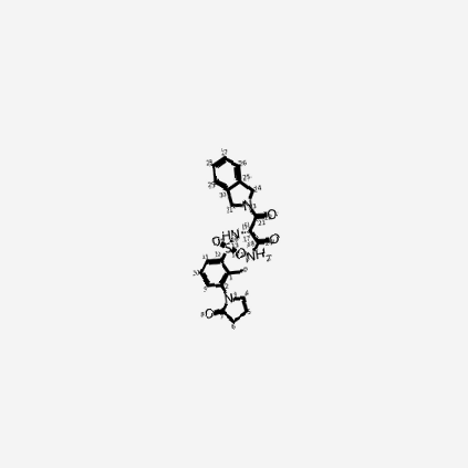 Cc1c(N2CCCC2=O)cccc1S(=O)(=O)N[C@@H](C(N)=O)C(=O)N1Cc2ccccc2C1